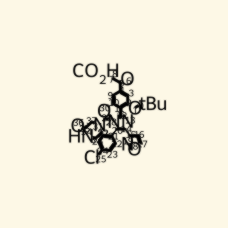 CC(C)(C)Oc1cc(C(=O)CC(=O)O)ccc1C1=N[C@@H](c2ccon2)[C@@H](c2ccc(Cl)cc2)N1C(=O)N1CCNC(=O)C1